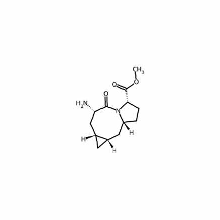 COC(=O)[C@@H]1CC[C@@H]2C[C@@H]3C[C@@H]3C[C@H](N)C(=O)N21